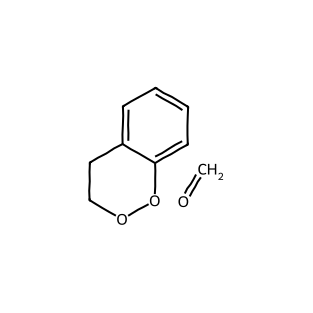 C=O.c1ccc2c(c1)CCOO2